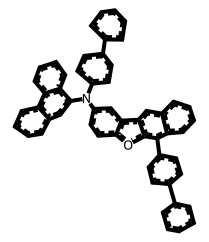 c1ccc(-c2ccc(-c3c4ccccc4cc4c3oc3ccc(N(c5ccc(-c6ccccc6)cc5)c5cc6ccccc6c6ccccc56)cc34)cc2)cc1